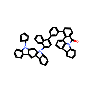 O=c1c2cccc(-c3cccc(-c4ccc(-n5c6ccccc6c6cc7c8ccccc8n(-c8ccccc8)c7cc65)c5ccccc45)c3)c2c2cccc3c4ccccc4n1c32